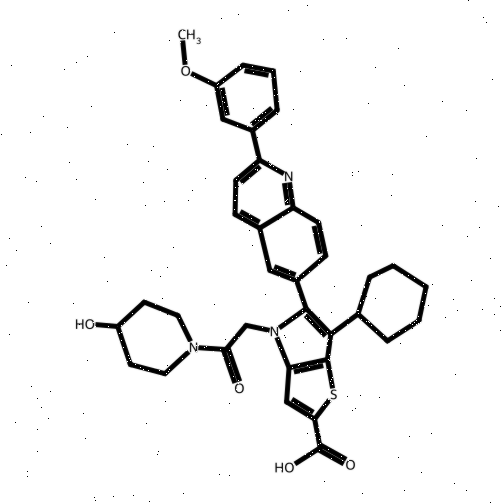 COc1cccc(-c2ccc3cc(-c4c(C5CCCCC5)c5sc(C(=O)O)cc5n4CC(=O)N4CCC(O)CC4)ccc3n2)c1